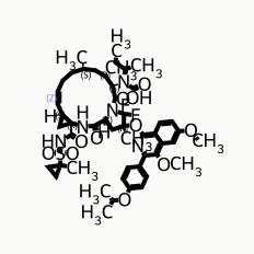 CCC(C)N(C(=O)O)[C@@H]1C(=O)N2[C@@H](C[C@@](C)(Oc3nc(-c4ccc(OC(C)C)cc4)c(OC)c4cc(OC)ccc34)C2(F)F)C(=O)N[C@]2(C(=O)NS(=O)(=O)C3(C)CC3)C[C@H]2/C=C\CC[C@H](C)C[C@H]1C